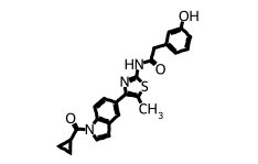 Cc1sc(NC(=O)Cc2cccc(O)c2)nc1-c1ccc2c(ccn2C(=O)C2CC2)c1